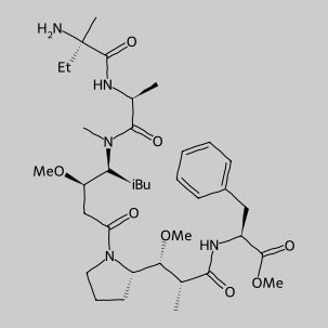 CC[C@H](C)[C@@H]([C@@H](CC(=O)N1CCC[C@H]1[C@H](OC)[C@@H](C)C(=O)N[C@@H](Cc1ccccc1)C(=O)OC)OC)N(C)C(=O)[C@H](C)NC(=O)[C@](C)(N)CC